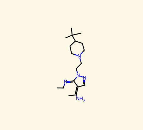 CC/N=C1\C(=C(/C)N)C=NN1CCN1CCC(C(C)(C)C)CC1